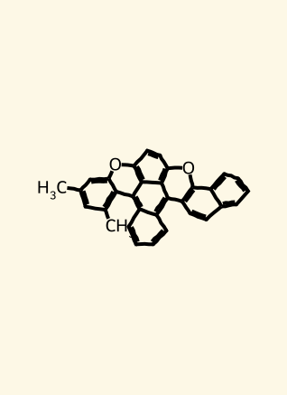 Cc1cc(C)c2c(c1)Oc1ccc3c4c(c5ccccc5c-2c14)-c1ccc2ccccc2c1O3